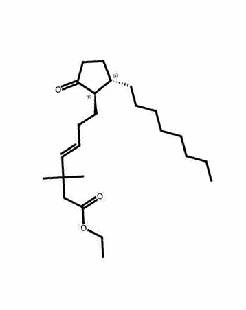 CCCCCCCC[C@H]1CCC(=O)[C@@H]1CCC=CC(C)(C)CC(=O)OCC